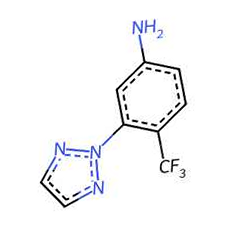 Nc1ccc(C(F)(F)F)c(-n2nccn2)c1